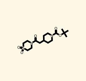 CC(C)(C)OC(=O)N1CCC(CC(=O)N2CCS(=O)(=O)CC2)CC1